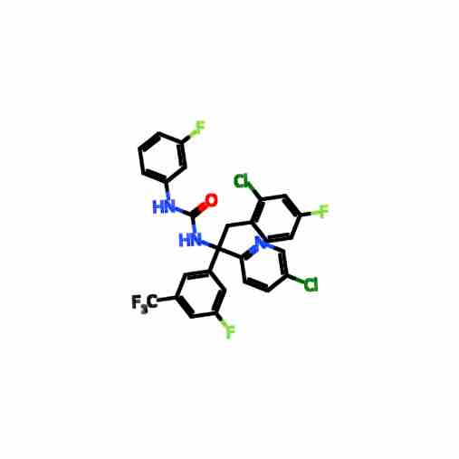 O=C(Nc1cccc(F)c1)NC(Cc1ccc(F)cc1Cl)(c1cc(F)cc(C(F)(F)F)c1)c1ccc(Cl)cn1